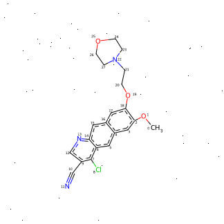 COc1cc2cc3c(Cl)c(C#N)cnc3cc2cc1OCCN1CCOCC1